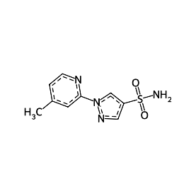 Cc1ccnc(-n2cc(S(N)(=O)=O)cn2)c1